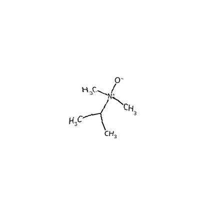 CC(C)[N+](C)(C)[O-]